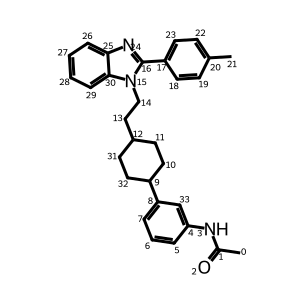 CC(=O)Nc1cccc(C2CCC(CCn3c(-c4ccc(C)cc4)nc4ccccc43)CC2)c1